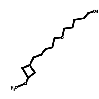 COC1CN(CCCCCOCCCCCO)C1